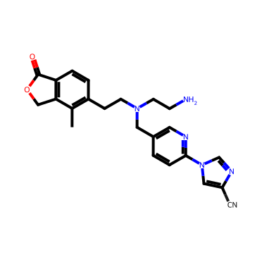 Cc1c(CCN(CCN)Cc2ccc(-n3cnc(C#N)c3)nc2)ccc2c1COC2=O